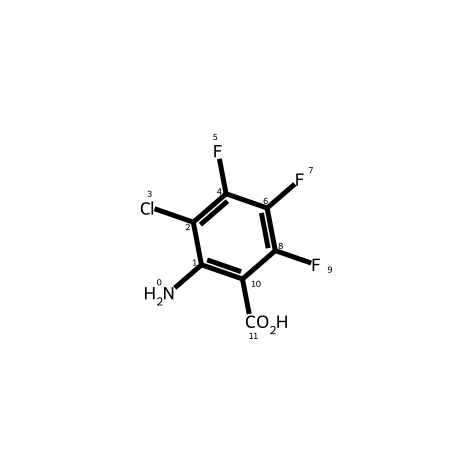 Nc1c(Cl)c(F)c(F)c(F)c1C(=O)O